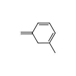 C=C1C=CC=C(C)C1